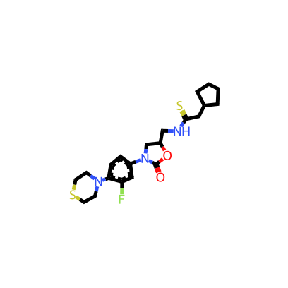 O=C1OC(CNC(=S)CC2CCCC2)CN1c1ccc(N2CCSCC2)c(F)c1